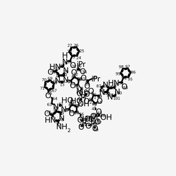 CO[C@@H]1[C@H](OP(=O)(O)OC[C@H]2O[C@@H](n3cnc4c(=O)[nH]c(NC(=O)c5ccccc5)nc43)[C@H](OC(=O)C(C)C)[C@@H]2OC(=O)C(C)C)[C@@H](COP(=O)(O)OP(=O)(O)OP(=O)(O)OC[C@H]2O[C@@H](n3c[n+](CCOc4ccccc4)c4c(=O)[nH]c(N)nc43)[C@H](O)[C@@H]2O)O[C@H]1n1cnc2c(NC(=O)c3ccccc3)ncnc21